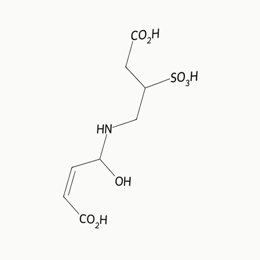 O=C(O)/C=C\C(O)NCC(CC(=O)O)S(=O)(=O)O